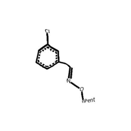 CCCCCO/N=[C]/c1cccc(Cl)c1